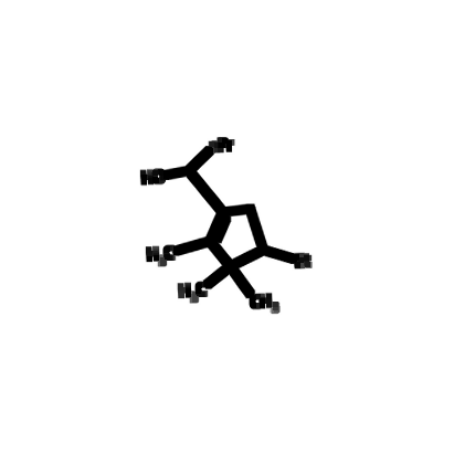 CCCC(O)C1=C(C)C(C)(C)C(CC)C1